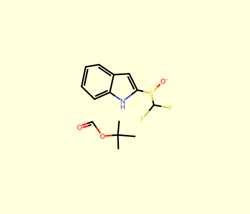 CC(C)(C)OC=O.[O-][S+](c1cc2ccccc2[nH]1)C(F)F